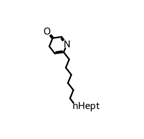 CCCCCCCCCCCCCC1=CCC(=O)C=N1